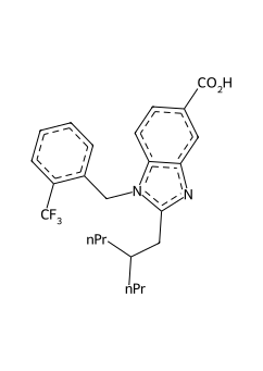 CCCC(CCC)Cc1nc2cc(C(=O)O)ccc2n1Cc1ccccc1C(F)(F)F